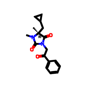 CN1C(=O)N(CC(=O)c2ccccc2)C(=O)[C@]1(C)CC1CC1